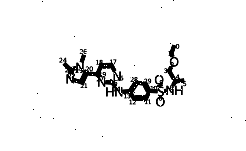 CCOCC(C)NS(=O)(=O)c1ccc(Nc2nccc(-c3cnc(C)n3C)n2)cc1